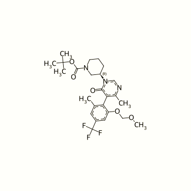 COCOc1cc(C(F)(F)F)cc(C)c1-c1c(C)ncn([C@@H]2CCCN(C(=O)OC(C)(C)C)C2)c1=O